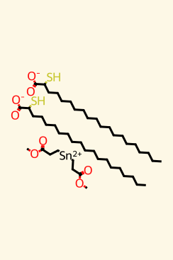 CCCCCCCCCCCCCCCCCCC(S)C(=O)[O-].CCCCCCCCCCCCCCCCCCC(S)C(=O)[O-].COC(=O)C[CH2][Sn+2][CH2]CC(=O)OC